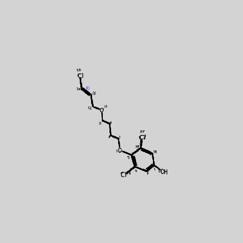 Oc1cc(Cl)c(OCCCCOC/C=C/Cl)c(Cl)c1